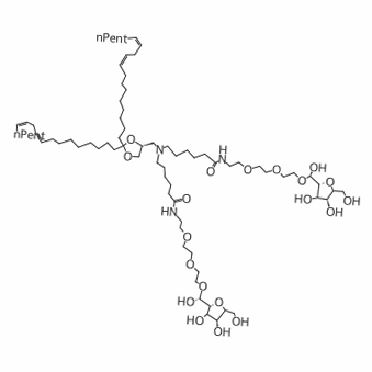 CCCCC/C=C\C/C=C\CCCCCCCCC1(CCCCCCCC/C=C\C/C=C\CCCCC)OC[C@H](CN(CCCCCC(=O)NCCOCCOCCO[C@@H](O)[C@@H]2OC(CO)[C@@H](O)C2O)CCCCCC(=O)NCCOCCOCCO[C@@H](O)[C@@H]2OC(CO)[C@@H](O)C2O)O1